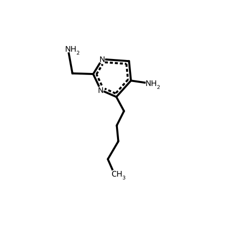 CCCCCc1nc(CN)ncc1N